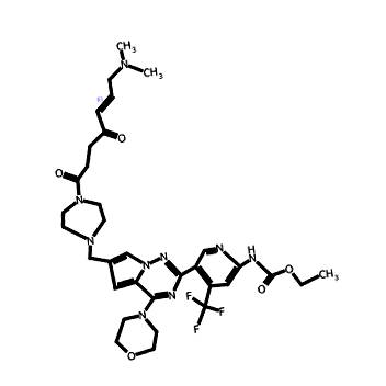 CCOC(=O)Nc1cc(C(F)(F)F)c(-c2nc(N3CCOCC3)c3cc(CN4CCN(C(=O)CCC(=O)/C=C/CN(C)C)CC4)cn3n2)cn1